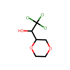 OC(C1COCCO1)C(Cl)(Cl)Cl